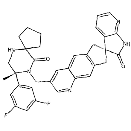 C[C@@]1(c2cc(F)cc(F)c2)CNC2(CCCC2)C(=O)N1Cc1cnc2cc3c(cc2c1)C[C@@]1(C3)C(=O)Nc2ncccc21